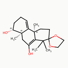 CC1(C)C2=C(O)C[C@]3(C)C(=CCC[C@H]3O)[C@@]2(C)CCC12OCCO2